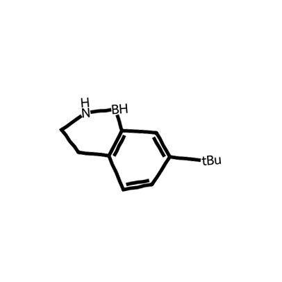 CC(C)(C)c1ccc2c(c1)BNCC2